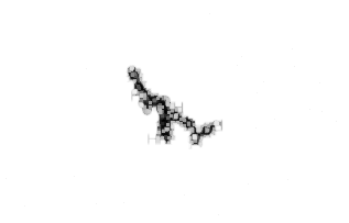 CC1(C)CCC(CN2CCN(c3ccc(C(=O)NS(=O)(=O)c4ccc(NCC5CCN(C6CCOCC6)C5)c([N+](=O)[O-])c4)c(-n4ncc5nc6[nH]ccc6cc54)c3)CC2)=C(c2ccc(Cl)cc2)C1